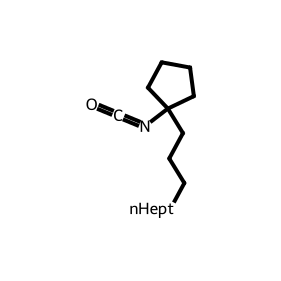 CCCCCCCCCCC1(N=C=O)CCCC1